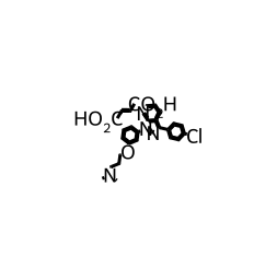 CN(C)CCCOc1cccc(-n2nc(-c3ccc(Cl)cc3)c3cccnc32)c1.O=C(O)C=CC(=O)O